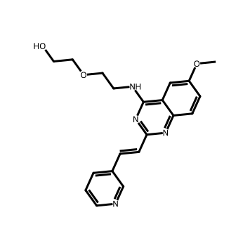 COc1ccc2nc(C=Cc3cccnc3)nc(NCCOCCO)c2c1